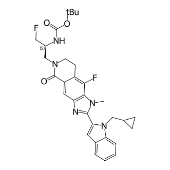 Cn1c(-c2cc3ccccc3n2CC2CC2)nc2cc3c(c(F)c21)CCN(C[C@@H](CF)NC(=O)OC(C)(C)C)C3=O